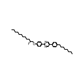 CCCCCCCCCCC(F)COc1ccc(-c2ncc(-c3ccc(CCCCCCCC)cc3)cn2)cc1